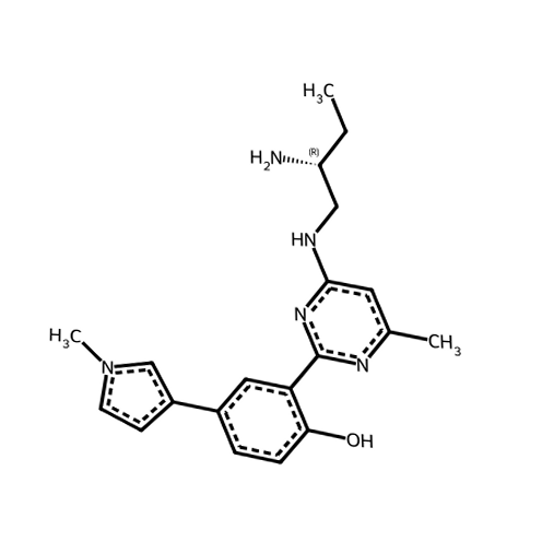 CC[C@@H](N)CNc1cc(C)nc(-c2cc(-c3ccn(C)c3)ccc2O)n1